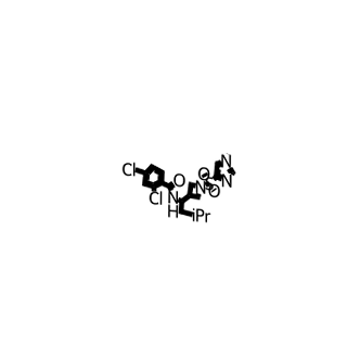 CC(C)CC(NC(=O)c1ccc(Cl)cc1Cl)C1CN(S(=O)(=O)c2cn(C)cn2)C1